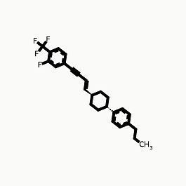 CCCc1ccc([C@H]2CC[C@H](/C=C/C#Cc3ccc(C(F)(F)F)c(F)c3)CC2)cc1